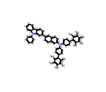 [2H]c1c([2H])c([2H])c(-c2ccc(N(c3ccc(-c4c([2H])c([2H])c([2H])c([2H])c4[2H])cc3)c3ccc4cc(-c5ccc6c7ccccc7n(-c7ccccc7)c6c5)ccc4c3)cc2)c([2H])c1[2H]